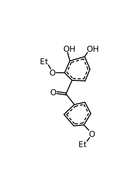 CCOc1ccc(C(=O)c2ccc(O)c(O)c2OCC)cc1